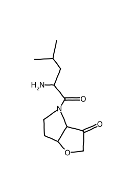 CC(C)CC(N)C(=O)N1CCC2OCC(=O)C21